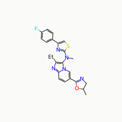 CCc1nc2ccc(C3=NCC(C)O3)cn2c1N(C)c1nc(-c2ccc(F)cc2)cs1